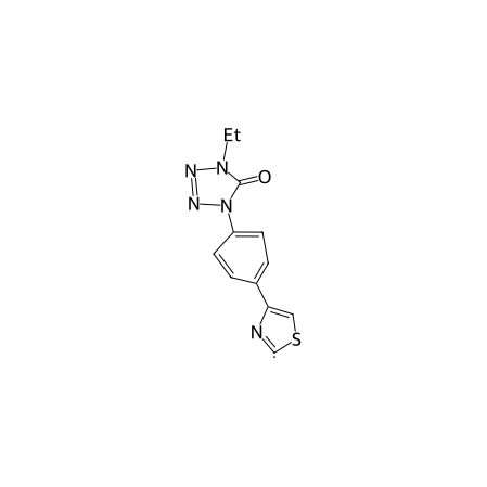 CCn1nnn(-c2ccc(-c3cs[c]n3)cc2)c1=O